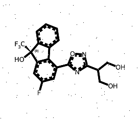 OCC(CO)c1noc(-c2cc(F)cc3c2-c2ccccc2[C@]3(O)C(F)(F)F)n1